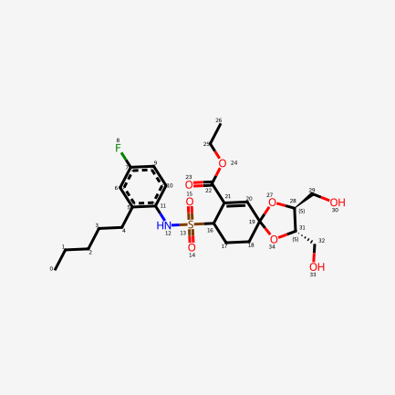 CCCCCc1cc(F)ccc1NS(=O)(=O)C1CCC2(C=C1C(=O)OCC)O[C@@H](CO)[C@H](CO)O2